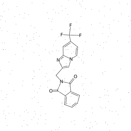 O=C1c2ccccc2C(=O)N1Cc1cn2ccc(C(F)(F)F)cc2n1